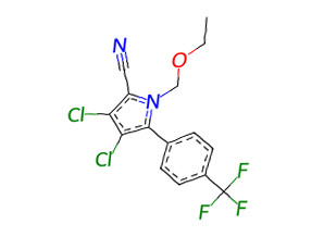 CCOCn1c(C#N)c(Cl)c(Cl)c1-c1ccc(C(F)(F)F)cc1